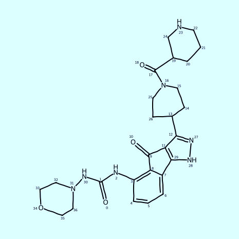 O=C(Nc1cccc2c1C(=O)c1c(C3CCN(C(=O)C4CCCNC4)CC3)n[nH]c1-2)NN1CCOCC1